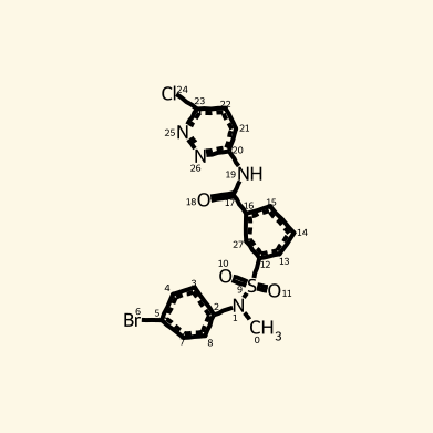 CN(c1ccc(Br)cc1)S(=O)(=O)c1cccc(C(=O)Nc2ccc(Cl)nn2)c1